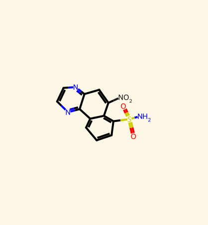 NS(=O)(=O)c1cccc2c1c([N+](=O)[O-])cc1nccnc12